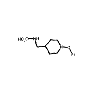 CCON1CCC(CNC(=O)O)CC1